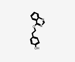 Oc1ccc(CCOc2ncnc3ccccc23)cc1